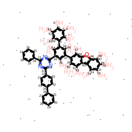 Bc1c(B)c(B)c(-c2c(B)c(-c3nc(-c4ccccc4)nc(-c4ccc(-c5ccccc5)cc4)n3)c(B)c(-c3c(B)c(B)c4c(oc5c(B)c(B)c(B)c(B)c54)c3B)c2B)c(B)c1B